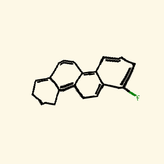 Fc1cccc2c1=CCc1c3c(ccc1=2)=CCCC3